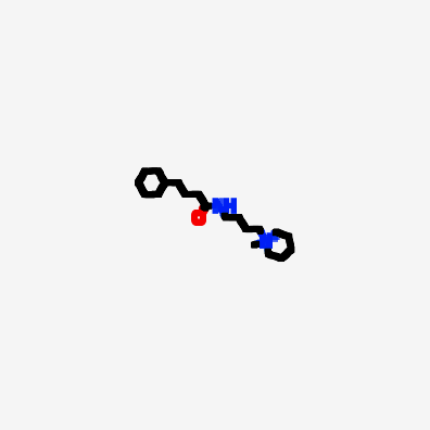 C[N+]1(CCCCNC(=O)CCCC2CCCCC2)CCCCC1